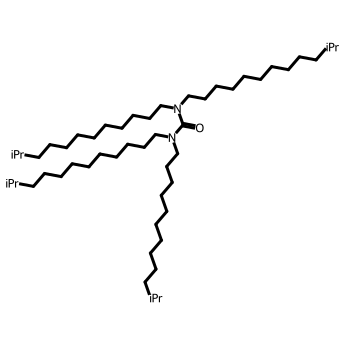 CC(C)CCCCCCCCCCN(CCCCCCCCCCC(C)C)C(=O)N(CCCCCCCCCCC(C)C)CCCCCCCCCCC(C)C